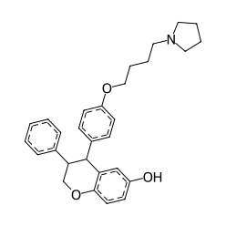 Oc1ccc2c(c1)C(c1ccc(OCCCCN3CCCC3)cc1)C(c1ccccc1)CO2